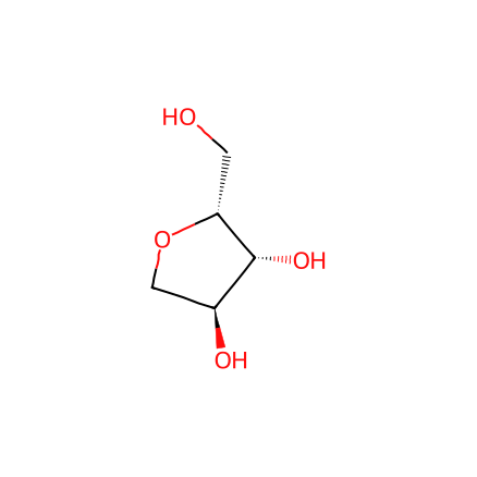 OC[C@H]1OC[C@H](O)[C@H]1O